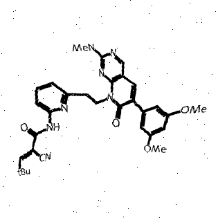 CNc1ncc2cc(-c3cc(OC)cc(OC)c3)c(=O)n(CCc3cccc(NC(=O)/C(C#N)=C/C(C)(C)C)n3)c2n1